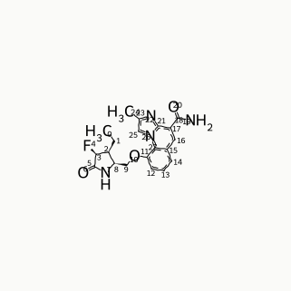 CC[C@@H]1[C@H](F)C(=O)N[C@@H]1COc1cccc2cc(C(N)=O)c3nc(C)cn3c12